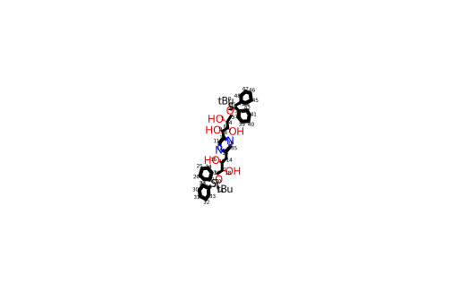 CC(C)(C)[Si](OC[C@@H](O)[C@@H](O)[C@H](O)c1cnc(C[C@H](O)[C@H](O)CO[Si](c2ccccc2)(c2ccccc2)C(C)(C)C)cn1)(c1ccccc1)c1ccccc1